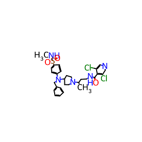 CNS(=O)(=O)c1ccc(N(Cc2ccccc2)C2CCN(C(C)CCNC(=O)c3c(Cl)cncc3Cl)CC2)cc1